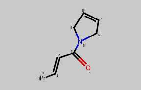 CC(C)/C=C/C(=O)N1CC=CC1